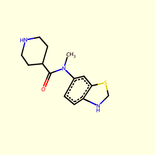 CN(C(=O)C1CCNCC1)c1ccc2c(c1)SCN2